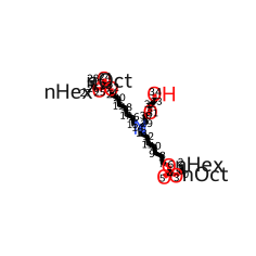 CCCCCCCCC(CCCCCC)OC(=O)OCCCCCCCN(CCCCCCCOC(=O)OC(CCCCCC)CCCCCCCC)CCOCCO